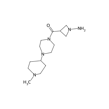 CN1CCC(N2CCN(C(=O)C3CN(N)C3)CC2)CC1